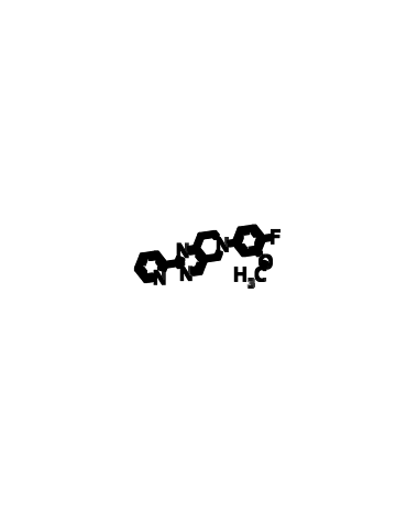 COc1cc(N2CCc3nc(-c4ccccn4)ncc3C2)ccc1F